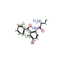 CC[C@H](N)C(=O)Nc1ccc(Br)c(Cl)c1C(=O)c1c(F)cccc1F